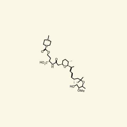 CO[C@H](C(C)OC(C)(C)C[C@H](C)/C=C/C=C(\C)[C@H]1O[C@@H](CC(=O)N[C@@H](CCOC(=O)N2CCN(C)CC2)C(=O)O)CC[C@@H]1C)[C@@H](C)O